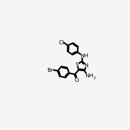 Nc1nc(Nc2ccc(Cl)cc2)sc1C(=O)c1ccc(Br)cc1